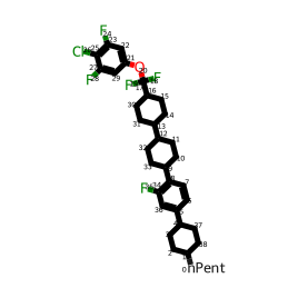 CCCCCC1CCC(c2ccc(C3CCC(C4CCC(C(F)(F)Oc5cc(F)c(Cl)c(F)c5)CC4)CC3)c(F)c2)CC1